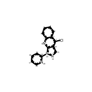 Clc1c2ccccc2nc2c1cnn2-c1ccccn1